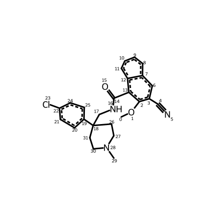 COc1c(C#N)cc2ccccc2c1C(=O)NCC1(c2ccc(Cl)cc2)CCN(C)CC1